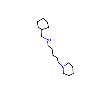 [CH]1CCN(CCCCCNCC2CCCCC2)CC1